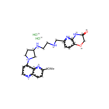 COc1ccc2nccc(N3CCC(NCCNCc4ccc5c(n4)NC(=O)CO5)C3)c2n1.Cl.Cl